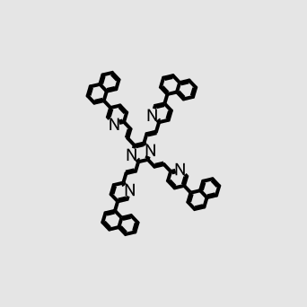 C(=Cc1nc(C=Cc2ccc(-c3cccc4ccccc34)cn2)c(C=Cc2ccc(-c3cccc4ccccc34)cn2)nc1C=Cc1ccc(-c2cccc3ccccc23)cn1)c1ccc(-c2cccc3ccccc23)cn1